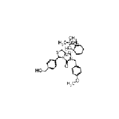 COc1ccc(CN2C(=O)N3C(c4ccc(CO)cc4)SC[C@H]3[C@@H]2C2(O[Si](C)(C)C)CCCCC2=O)cc1